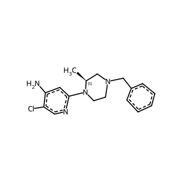 C[C@H]1CN(Cc2ccccc2)CCN1c1cc(N)c(Cl)cn1